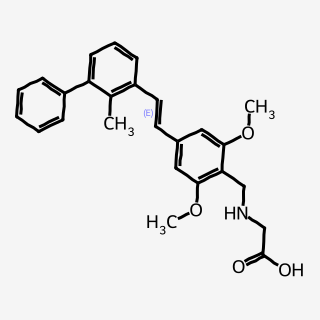 COc1cc(/C=C/c2cccc(-c3ccccc3)c2C)cc(OC)c1CNCC(=O)O